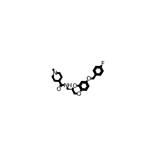 CN1CCC(C(=O)NC[C@@H]2COc3ccc(OCc4ccc(F)cc4)cc3O2)CC1